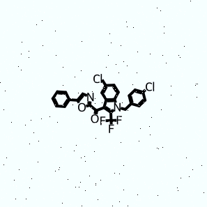 O=C(c1ncc(-c2ccccc2)o1)c1c(C(F)(F)F)n(Cc2ccc(Cl)cc2)c2ccc(Cl)cc12